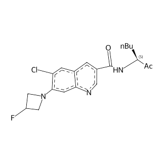 CCCC[C@H](NC(=O)c1cnc2cc(N3CC(F)C3)c(Cl)cc2c1)C(C)=O